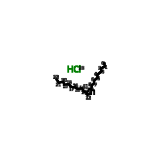 CCCCCCCCC[CH2][Zn]([CH3])([CH3])[CH2]CCCCCCCCC.Cl